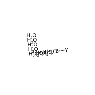 O.O.O.O.O.O.O.O.O.[Br][Y]